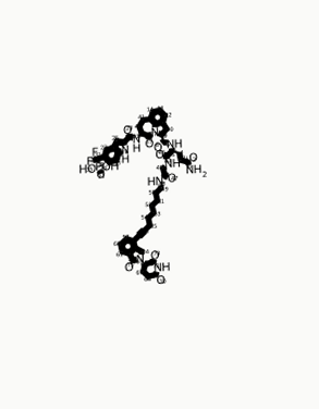 NC(=O)CC[C@H](NC(=O)[C@@H]1Cc2cccc3c2N1C(=O)[C@@H](NC(=O)c1cc2cc(C(F)(F)P(=O)(O)O)ccc2[nH]1)CC3)C(=O)NCC(=O)NCCCCCCCC#Cc1cccc2c1CN(C1CCC(=O)NC1=O)C2=O